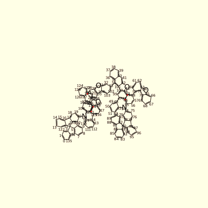 c1ccc(C2(c3ccccc3)c3ccccc3-c3ccc(N(c4ccc(-c5ccc6oc7cc(-c8c9ccccc9cc9oc%10ccc(-c%11ccccc%11N(c%11ccc(-c%12cccc%13oc%14ccccc%14c%12%13)cc%11)c%11ccc%12c(c%11)C%11(c%13ccccc%13-c%13ccccc%13%11)c%11ccccc%11-%12)cc%10c89)ccc7c6c5)cc4)c4ccccc4-c4ccc5oc6cc7ccccc7cc6c5c4)cc32)cc1